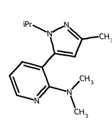 Cc1cc(-c2cccnc2N(C)C)n(C(C)C)n1